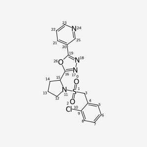 O=S(=O)(Cc1ccccc1Cl)N1CCCC1c1nnc(-c2cccnc2)o1